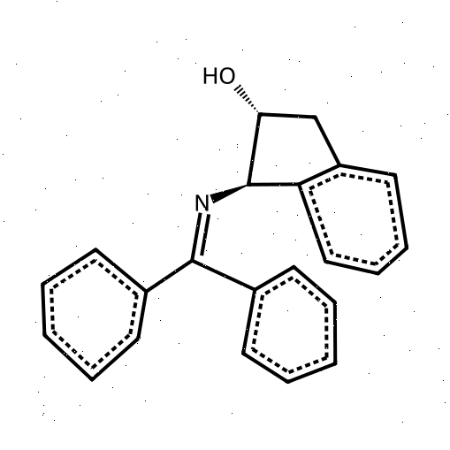 O[C@@H]1Cc2ccccc2[C@H]1N=C(c1ccccc1)c1ccccc1